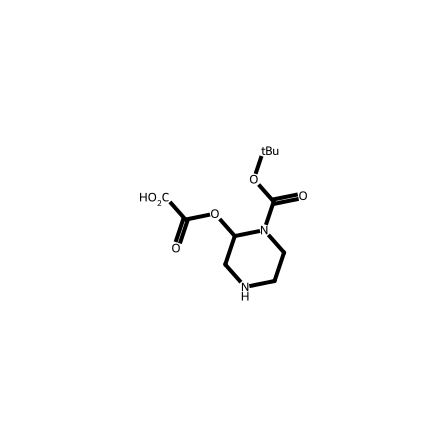 CC(C)(C)OC(=O)N1CCNCC1OC(=O)C(=O)O